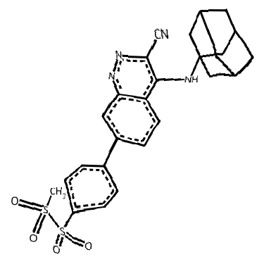 CS(=O)(=O)S(=O)(=O)c1ccc(-c2ccc3c(NC45CC6CC(CC(C6)C4)C5)c(C#N)nnc3c2)cc1